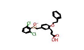 O=C(O)C=Cc1cc(C[S+]([O-])c2c(Cl)cccc2Cl)ccc1OCCc1ccccc1